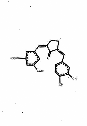 COc1cc(C=C2CCC(=Cc3ccc(O)c(O)c3)C2=O)cc(OC)c1